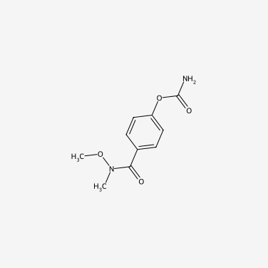 CON(C)C(=O)c1ccc(OC(N)=O)cc1